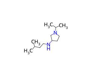 CC(C)CCNC1CCN(C(C)C)C1